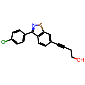 OCCC#Cc1ccc2c(-c3ccc(Cl)cc3)nsc2c1